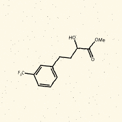 COC(=O)C(O)CCc1cccc(C(F)(F)F)c1